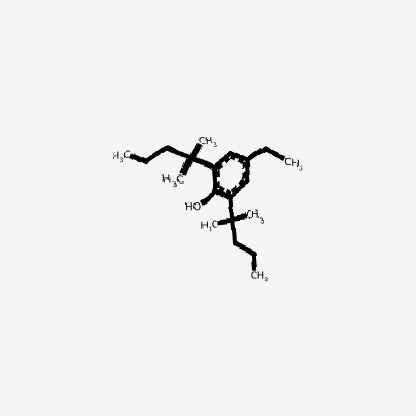 CCCC(C)(C)c1cc(CC)cc(C(C)(C)CCC)c1O